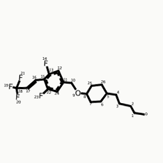 CCCCCC1CCC(OCc2cc(F)c(/C=C/C(F)(F)F)c(F)c2)CC1